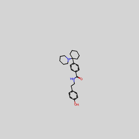 O=C(NCCc1ccc(O)cc1)c1ccc(C2(N3CCCCC3)CCCCC2)cc1